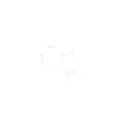 Cc1c(C(C)C)ccc2c1OCCCO2